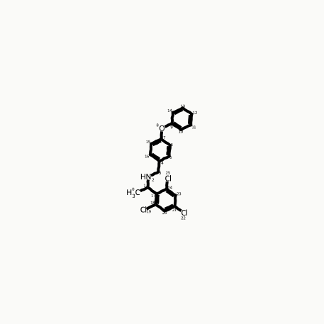 CC(NCc1ccc(Oc2ccccc2)cc1)c1c(Cl)cc(Cl)cc1Cl